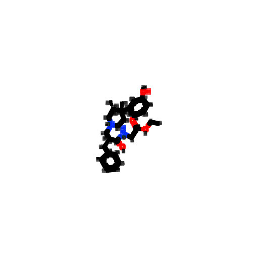 CCOC(=O)CNC(=O)[C@@H](Cc1cc#ccc1)CN1CC[C@@](C)(c2cccc(O)c2)[C@@H](C)C1